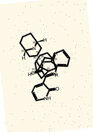 CC12C[C@H]3C[C@@H](N4[C@@H]5CCC[C@H]4C[C@@H](n4c(=O)c(-c6ccc[nH]c6=O)nc6ccccc64)C5)C[C@@H]1C[C@@H]2C3